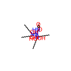 CCCCCCCCCCC(O)CN(CCCN(CCCNC(=O)c1ccc(OC)cc1)CCCN(CC(O)CCCCCCCCCC)CC(O)CCCCCCCCCC)CC(O)CCCCCCCCCC